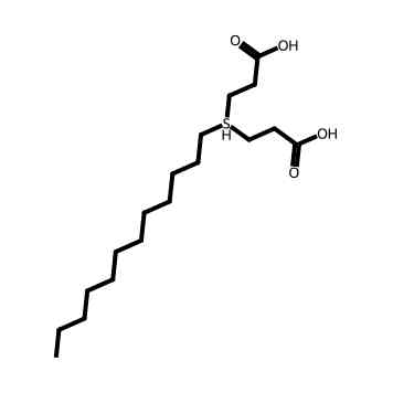 CCCCCCCCCCCC[SH](CCC(=O)O)CCC(=O)O